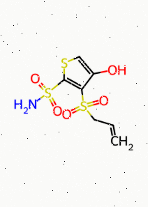 C=CCS(=O)(=O)c1c(O)csc1S(N)(=O)=O